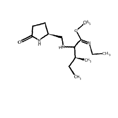 CC/N=C(/OC)C(NC[C@@H]1CCC(=O)N1)[C@@H](C)CC